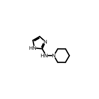 c1c[nH]c(NN2CCCCC2)n1